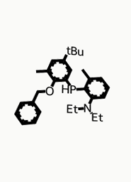 CCN(CC)c1cccc(C)c1Pc1cc(C(C)(C)C)cc(C)c1OCc1ccccc1